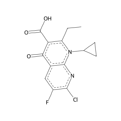 CCc1c(C(=O)O)c(=O)c2cc(F)c(Cl)nc2n1C1CC1